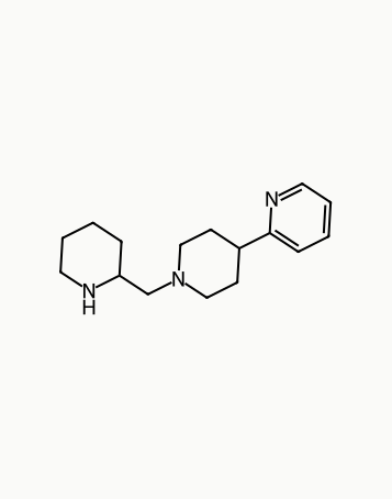 c1ccc(C2CCN(CC3CCCCN3)CC2)nc1